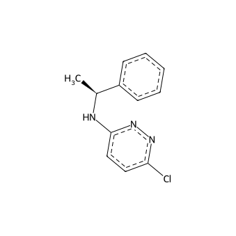 C[C@H](Nc1ccc(Cl)nn1)c1ccccc1